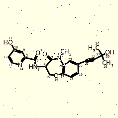 CN1C(=O)C(NC(=O)c2cc(O)ccn2)COc2ccc(C#CC(C)(C)O)cc21